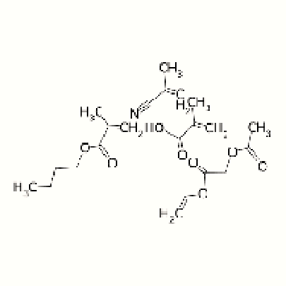 C=C(C)C#N.C=C(C)C(=O)O.C=C(C)C(=O)OCCCC.C=COC(=O)COC(C)=O